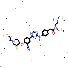 CNCCN(C)C(=O)Cc1ccc(Nc2ncnc(-c3ccc(O[C@H]4CCN(C(=O)CO)CC4F)c(C#N)c3)n2)cc1